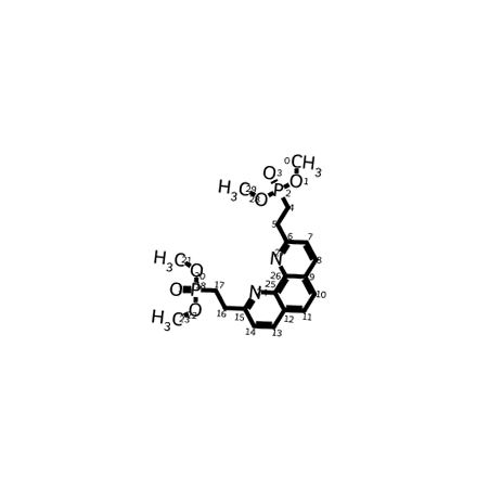 COP(=O)(CCc1ccc2ccc3ccc(CCP(=O)(OC)OC)nc3c2n1)OC